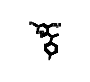 CC(C)N(C=O)/C=C(/C(=O)O)C(=O)N(C)c1ccc(F)cn1